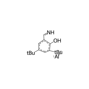 CC(C)(C)c1cc(C=N)c(O)c(C(C)(C)C)c1.[CH3][Al]